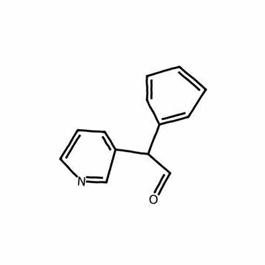 O=CC(c1ccccc1)c1cccnc1